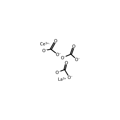 O=C([O-])[O-].O=C([O-])[O-].O=C([O-])[O-].[Ce+3].[La+3]